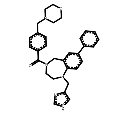 O=C(c1ccc(CN2CCOCC2)cc1)N1CCN(Cc2c[nH]cn2)c2ccc(-c3ccccc3)cc2C1